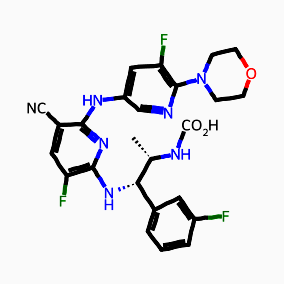 C[C@H](NC(=O)O)[C@@H](Nc1nc(Nc2cnc(N3CCOCC3)c(F)c2)c(C#N)cc1F)c1cccc(F)c1